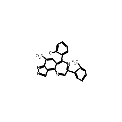 O=[N+]([O-])c1cc2c(-c3ccccc3Cl)nc(-c3ccccc3C(F)(F)F)cnc2c2cnnc12